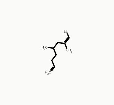 [CH2]CC=C(C)CC(C)CCC=C